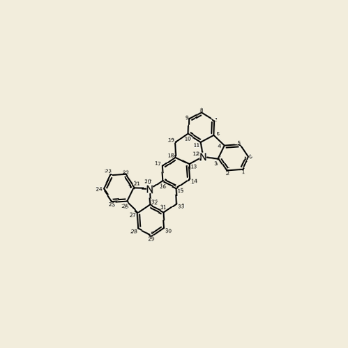 c1ccc2c(c1)c1cccc3c1n2-c1cc2c(cc1C3)-n1c3ccccc3c3cccc(c31)C2